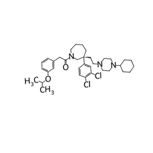 CC(C)Oc1cccc(CC(=O)N2CCCC[C@](CCN3CCN(C4CCCCC4)CC3)(c3ccc(Cl)c(Cl)c3)C2)c1